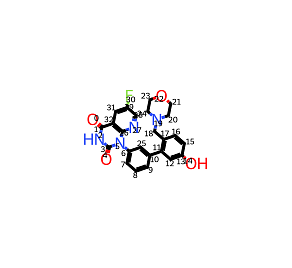 O=c1[nH]c(=O)n(-c2cccc(-c3cc(O)ccc3CN3CCOCC3)c2)c2ncc(F)cc12